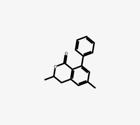 Cc1cc2c(c(-c3ccccc3)c1)C(=O)OC(C)C2